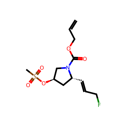 C=CCOC(=O)N1C[C@H](OS(C)(=O)=O)C[C@H]1/C=C/CF